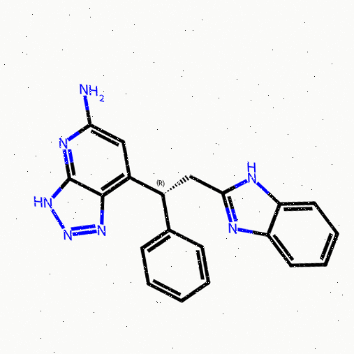 Nc1cc([C@H](Cc2nc3ccccc3[nH]2)c2ccccc2)c2nn[nH]c2n1